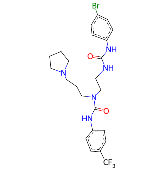 O=C(NCCN(CCCN1CCCC1)C(=O)Nc1ccc(C(F)(F)F)cc1)Nc1ccc(Br)cc1